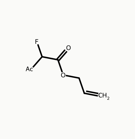 C=CCOC(=O)C(F)C(C)=O